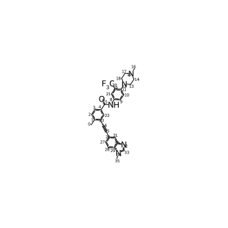 Cc1ccc(C(=O)Nc2ccc(N3CCN(C)CC3)c(C(F)(F)F)c2)cc1C#Cc1ccc2c(c1)ncn2C